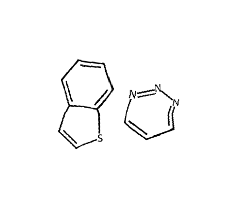 c1ccc2sccc2c1.c1cnnnc1